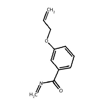 C=CCOc1cccc(C(=O)N=C)c1